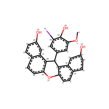 COc1cc(C2c3c(ccc4ccc(O)cc34)Oc3ccc4ccc(O)cc4c32)cc(I)c1O